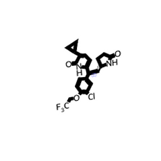 O=C1CC[C@H](/C=C(/c2ccc(OCC(F)(F)F)c(Cl)c2)c2ccc(C3CC3)c(=O)[nH]2)N1